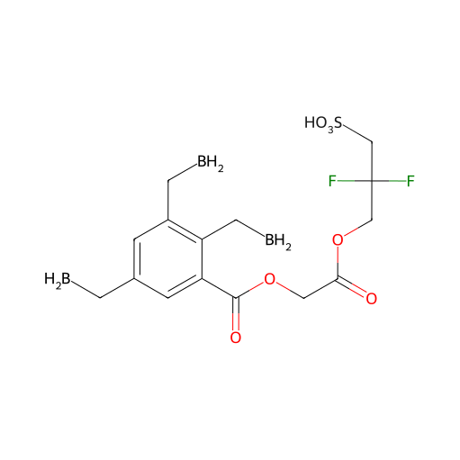 BCc1cc(CB)c(CB)c(C(=O)OCC(=O)OCC(F)(F)CS(=O)(=O)O)c1